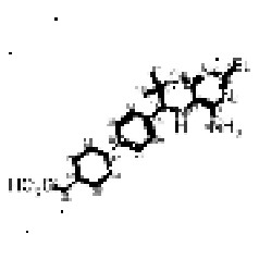 CCc1nc(N)c2c(n1)OC(C)(C)C(c1ccc([C@H]3CC[C@H](CC(=O)O)CC3)cc1)N2